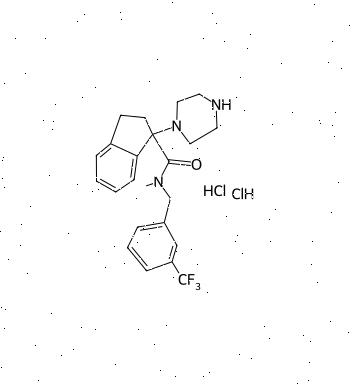 CN(Cc1cccc(C(F)(F)F)c1)C(=O)C1(N2CCNCC2)CCc2ccccc21.Cl.Cl